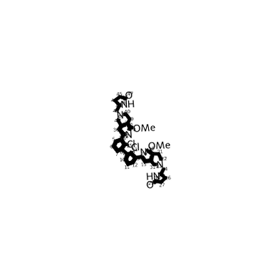 COc1nc(-c2cccc(-c3cccc(-c4cc5c(c(OC)n4)CCN(CC4CCC(=O)N4)C5)c3Cl)c2Cl)cc2c1CCN(CC1CCC(=O)N1)C2